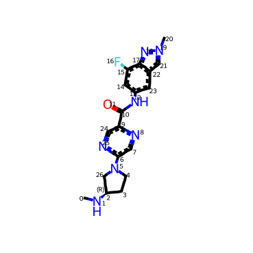 CN[C@@H]1CCN(c2cnc(C(=O)Nc3cc(F)c4nn(C)cc4c3)cn2)C1